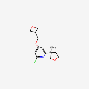 CO[C@]1(c2cc(OCC3COC3)cc(Cl)n2)CCOC1